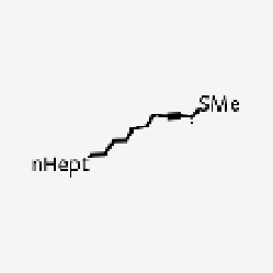 CCCCCCCCCCCCCCC#C[CH]SC